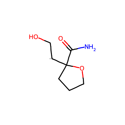 NC(=O)C1([CH]CO)CCCO1